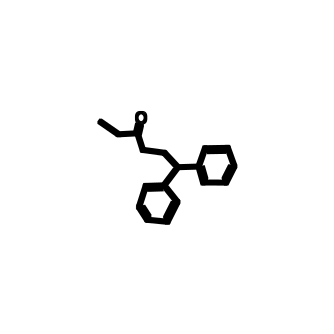 CCC(=O)CCC(c1ccccc1)c1ccccc1